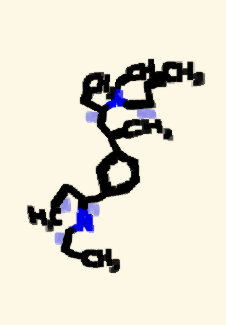 C=C/C=C\N(C=C)/C(C=C)=C\C(=C)c1cccc(C(/C=C\C)=N/C=C\C)c1